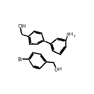 Nc1cccc(-c2ccc(CO)cc2)c1.OCc1ccc(Br)cc1